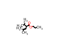 CCCOC(=O)C(C=C(C)C)C(C)C